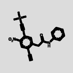 C#Cc1cc([N+](=O)[O-])c(C#C[Si](C)(C)C)cc1CC(=O)Nc1ccccc1